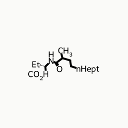 CCCCCCCCCC(C)C(=O)N[C@@H](CC)C(=O)O